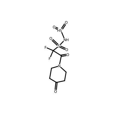 O=C1CCN(C(=O)C(F)(F)S(=O)(=O)N[SH](=O)=O)CC1